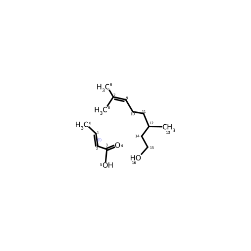 C/C=C/C(=O)O.CC(C)=CCCC(C)CCO